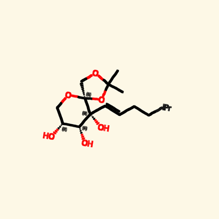 CC(C)CCC=C[C@@]1(O)[C@H](O)[C@H](O)CO[C@]12COC(C)(C)O2